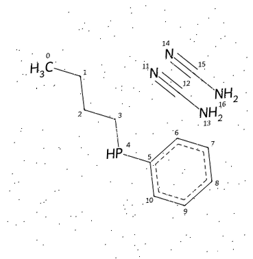 CCCCPc1ccccc1.N#CN.N#CN